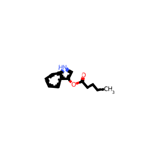 CCCCC(=O)Oc1c[nH]c2ccccc12